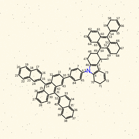 CC1c2c3c(n(-c4ccc(-c5ccc6c(-c7ccc8ccccc8c7)c7ccccc7c(-c7ccc8ccccc8c7)c6c5)cc4)c2CCC1c1c2c(c(C4=CC=CCC4)c4ccccc14)=CCCC=2)CCC=C3